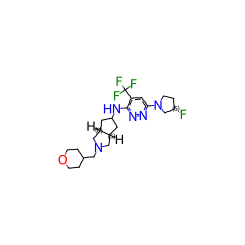 F[C@H]1CCN(c2cc(C(F)(F)F)c(NC3C[C@@H]4CN(CC5CCOCC5)C[C@@H]4C3)nn2)C1